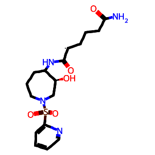 NC(=O)CCC[CH]C(=O)NC1CCCN(S(=O)(=O)c2ccccn2)C[C@@H]1O